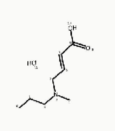 CCCN(C)CC=CC(=O)O.Cl